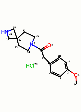 COc1ccc(CC(=O)N2CCC3(CC2)CNC3)cc1.Cl